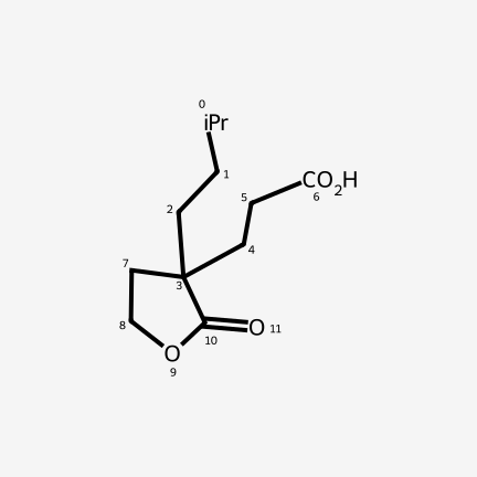 CC(C)CCC1(CCC(=O)O)CCOC1=O